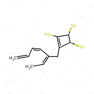 C=C/C=C\C(=C/C)CC1=C(S)[C@@H](S)[C@H]1S